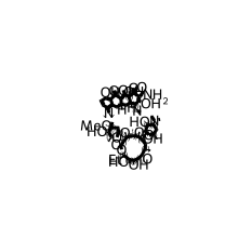 CC[C@H]1OC(=O)[C@H](C)[C@@H](O[C@H]2C[C@@](C)(OC)[C@@H](O)[C@H](C)O2)[C@H](C)[C@@H](O[C@@H]2O[C@H](C)C[C@H](N(C)C)[C@H]2O)[C@](C)(O)C[C@@H](C)C(=O)[C@H](C)[C@@H](O)[C@]1(C)O.CN(C)c1ccc(O)c2c1C[C@H]1C[C@H]3[C@H](N(C)C)C(O)=C(C(N)=O)C(=O)[C@@]3(O)C(O)=C1C2=O